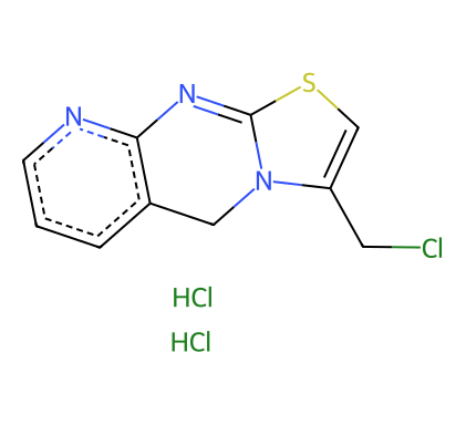 Cl.Cl.ClCC1=CSC2=Nc3ncccc3CN12